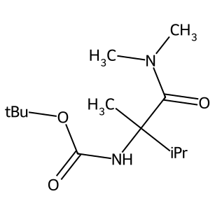 CC(C)C(C)(NC(=O)OC(C)(C)C)C(=O)N(C)C